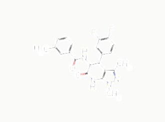 Cc1cccc(C(=O)NC2C(=O)Nc3c(c(C)nn3C)C2c2ccc(F)c(F)c2)c1